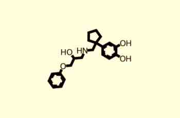 Oc1ccc(C2(CNCC(O)COc3ccccc3)CCCC2)cc1O